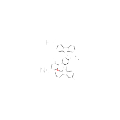 Cc1ccc2c(c1)c1ccccc1n2-c1cc(C#N)c(-n2c3ccccc3c3cc(C(F)(F)F)ccc32)cc1-c1ccc(C#N)cc1C(F)(F)F